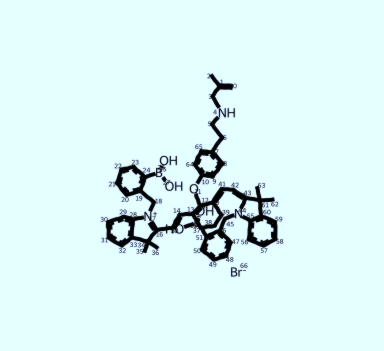 C=C(C)CNCCc1ccc(OC2=C(/C=C/C3=[N+](Cc4ccccc4B(O)O)c4ccccc4C3(C)C)CCC/C2=C\C=C2/N(Cc3ccccc3B(O)O)c3ccccc3C2(C)C)cc1.[Br-]